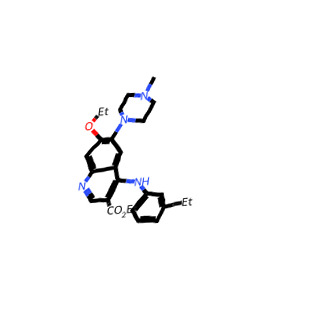 CCOC(=O)c1cnc2cc(OCC)c(N3CCN(C)CC3)cc2c1Nc1cccc(CC)c1